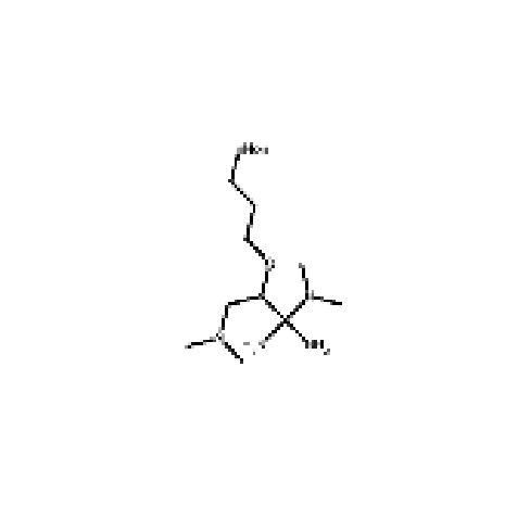 CCCCCCCCCCCCOC(CN(C)C)C(N)(N)N(C)C